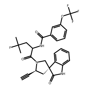 C#C[C@@H]1C[C@@]2(CN1C(=O)C(CC(C)(C)F)NC(=O)c1cccc(OC(F)(F)F)c1)C(=O)Nc1ccccc12